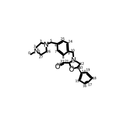 CN1CCN(Cc2ccc(CN3C[C@@H](c4ccccc4)OC3C=O)cc2)CC1